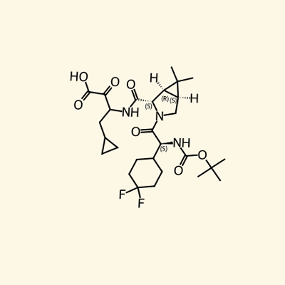 CC(C)(C)OC(=O)N[C@H](C(=O)N1C[C@H]2[C@@H]([C@H]1C(=O)NC(CC1CC1)C(=O)C(=O)O)C2(C)C)C1CCC(F)(F)CC1